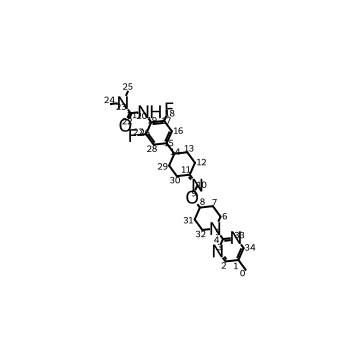 Cc1cnc(N2CCC(ON=C3CCC(c4cc(F)c(NC(=O)N(C)C)c(F)c4)CC3)CC2)nc1